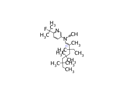 C#CN(/C=C(\C)C(C)(CC)CC(C)(C)CC(C)(C)CC)c1ccc(C(C)(C)F)nc1